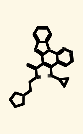 O=C(NCCN1CCCC1)c1c(NC2CC2)c2ccnnc2n2c1nc1ccccc12